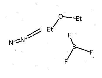 C=[N+]=[N-].CCOCC.FB(F)F